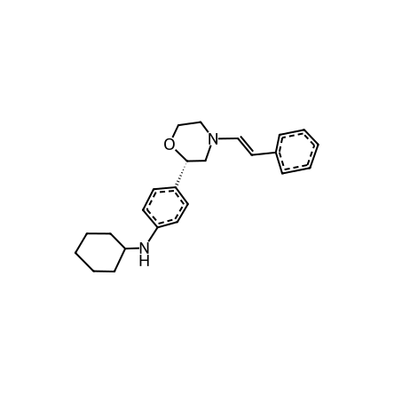 C(=CN1CCO[C@@H](c2ccc(NC3CCCCC3)cc2)C1)c1ccccc1